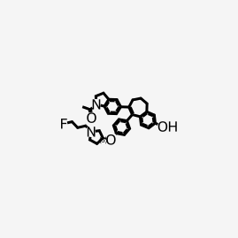 CC(=O)N1CCc2cc(C3=C(c4ccc(O[C@H]5CCN(CCCF)C5)cc4)c4ccc(O)cc4CCC3)ccc21